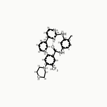 Cc1ccc(NC(=O)c2ccc(N3CCOCC3)c(C(F)(F)F)c2)cc1Nc1nccc(-c2cccnc2)n1